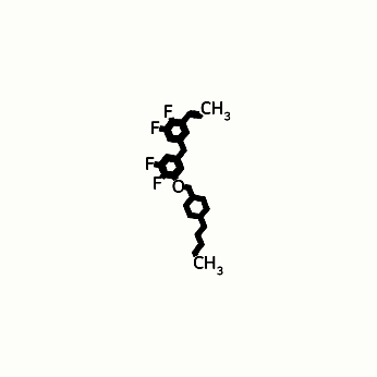 CC=Cc1cc(Cc2cc(F)c(F)c(OCC3CCC(CCCCC)CC3)c2)cc(F)c1F